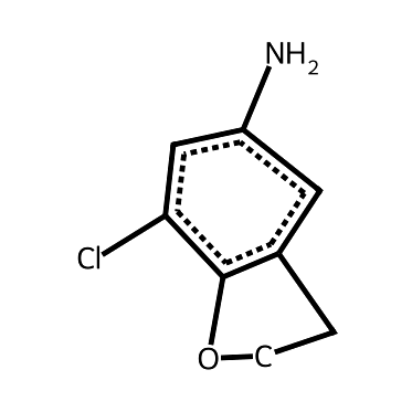 Nc1cc(Cl)c2c(c1)CCO2